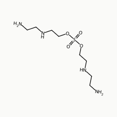 NCCNCCOS(=O)(=O)OCCNCCN